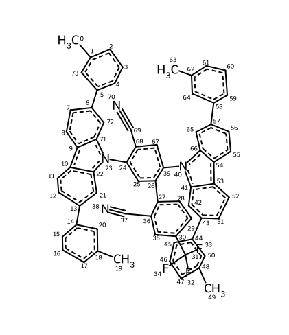 Cc1cccc(-c2ccc3c4ccc(-c5cccc(C)c5)cc4n(-c4cc(-c5ccc(C(F)(F)F)cc5C#N)c(-n5c6cc(-c7cccc(C)c7)ccc6c6ccc(-c7cccc(C)c7)cc65)cc4C#N)c3c2)c1